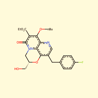 CCCCOc1c(C(=O)OCC)c(=O)n2c3c(c(Cc4ccc(F)cc4)cnc13)O[C@H](CO)C2